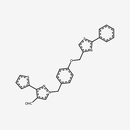 O=Cc1cn(Cc2ccc(OCc3csc(-c4ccccc4)n3)cc2)nc1-c1cccs1